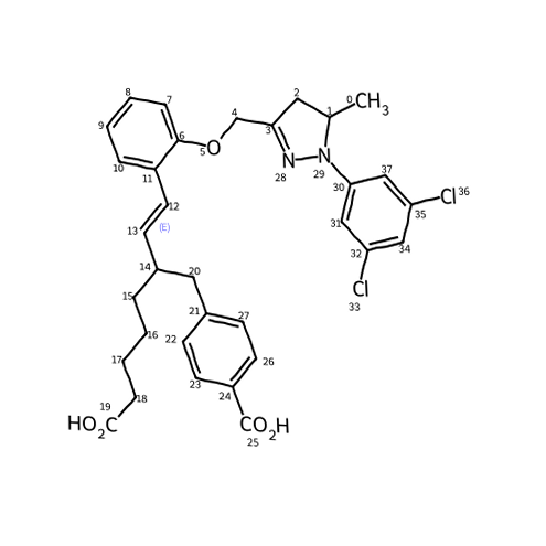 CC1CC(COc2ccccc2/C=C/C(CCCCC(=O)O)Cc2ccc(C(=O)O)cc2)=NN1c1cc(Cl)cc(Cl)c1